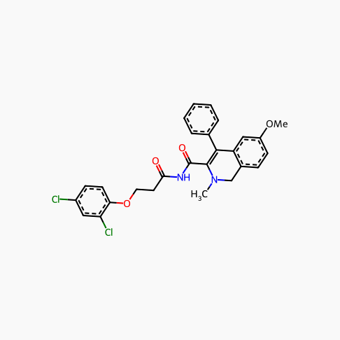 COc1ccc2c(c1)C(c1ccccc1)=C(C(=O)NC(=O)CCOc1ccc(Cl)cc1Cl)N(C)C2